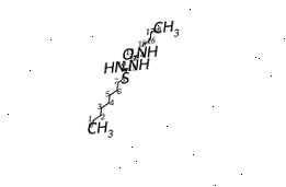 CCCCCCCCSC(=N)NC(=O)NCCCC